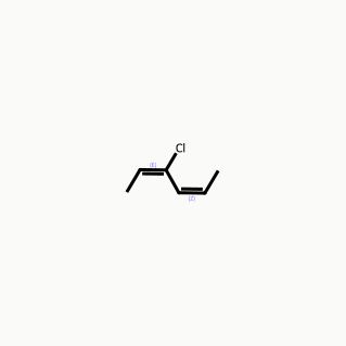 C/C=C\C(Cl)=C/C